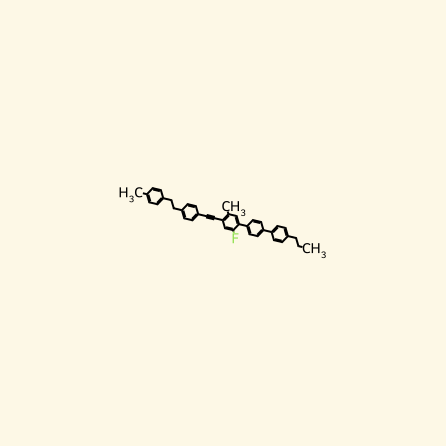 CCCc1ccc(-c2ccc(-c3cc(C)c(C#Cc4ccc(CCc5ccc(C)cc5)cc4)cc3F)cc2)cc1